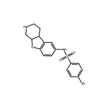 CC(C)c1ccc(S(=O)(=O)Nc2ccc3c(c2)C2CCNCC2O3)cc1